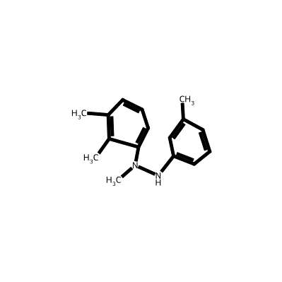 Cc1cccc(NN(C)c2cccc(C)c2C)c1